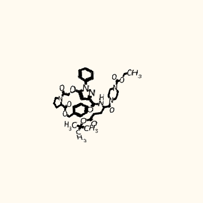 CCOC(=O)N1CCN(C(=O)C(CCC(=O)OC(C)(C)C)NC(=O)c2cc(OCC(=O)N3CCCC3C(=O)OCc3ccccc3)n(-c3ccccc3)n2)CC1